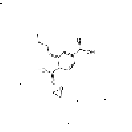 CCCC=C1C=C(C(=O)O)C=CC1C(=O)O.[CH]1[CH]O1